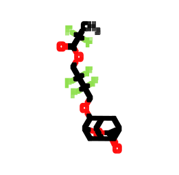 CC(F)(F)C(=O)OCC(F)(F)C(F)(F)COC1C2CC3CC(C2)C(=O)OC1C3